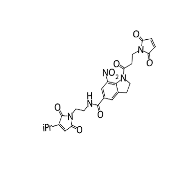 CC(C)C1=CC(=O)N(CCNC(=O)c2cc3c(c([N+](=O)[O-])c2)N(C(=O)CCN2C(=O)C=CC2=O)CC3)C1=O